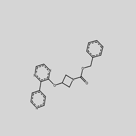 O=C(OCc1ccccc1)N1CC(Oc2nccnc2-c2ccncc2)C1